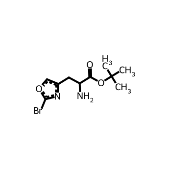 CC(C)(C)OC(=O)C(N)Cc1coc(Br)n1